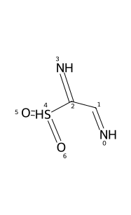 N=CC(=N)[SH](=O)=O